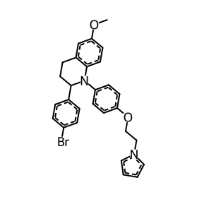 COc1ccc2c(c1)CCC(c1ccc(Br)cc1)N2c1ccc(OCCn2cccc2)cc1